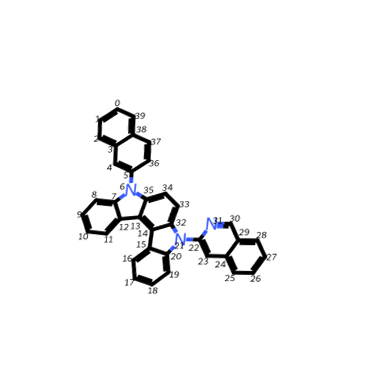 c1ccc2cc(-n3c4ccccc4c4c5c6ccccc6n(-c6cc7ccccc7cn6)c5ccc43)ccc2c1